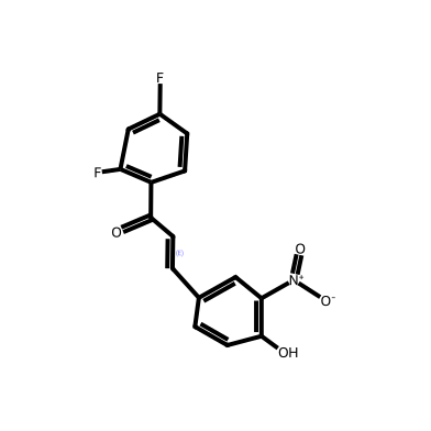 O=C(/C=C/c1ccc(O)c([N+](=O)[O-])c1)c1ccc(F)cc1F